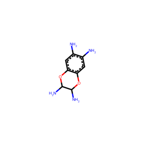 Nc1cc2c(cc1N)OC(N)C(N)O2